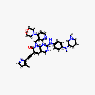 CC1=C(C#Cc2cc3cnc(Nc4ccc(N(C)C5CCCN(C)C5)cc4)nc3n(Cc3cnccc3N3CCOCC3)c2=O)N=CC1